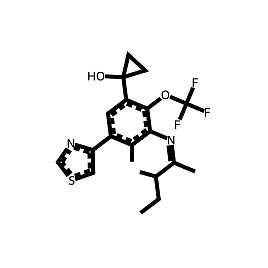 CCC(C)/C(C)=N\c1c(C)c(-c2cscn2)cc(C2(O)CC2)c1OC(F)(F)F